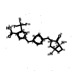 O=C(O)c1cn(Cc2ccc(CN3C[C@@H]4CC[C@@H]4C3=O)cc2)nc1C(F)(F)F